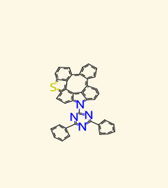 c1ccc(-c2nc(-c3ccccc3)nc(-n3c4cccc5c6ccccc6c6cccc7sc8ccc3c(c8c76)c54)n2)cc1